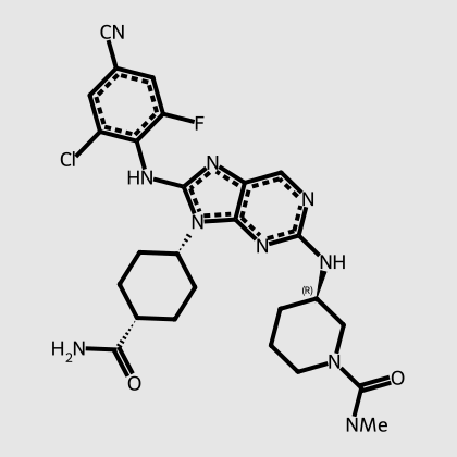 CNC(=O)N1CCC[C@@H](Nc2ncc3nc(Nc4c(F)cc(C#N)cc4Cl)n([C@H]4CC[C@@H](C(N)=O)CC4)c3n2)C1